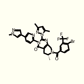 Cc1cc(C)n(-c2nc3c(c(=O)n2-c2ccc(-c4cnn(C)c4)cn2)C[C@@H](C)N(C(=O)c2ccc(Br)c(C(F)(F)F)c2)C3)n1